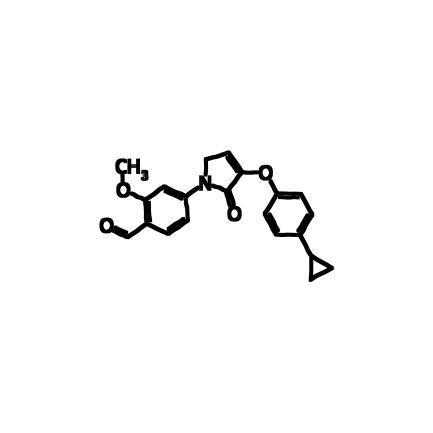 COc1cc(N2CC=C(Oc3ccc(C4CC4)cc3)C2=O)ccc1C=O